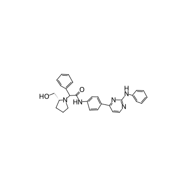 O=C(Nc1ccc(-c2ccnc(Nc3ccccc3)n2)cc1)C(c1ccccc1)N1CCC[C@@H]1CO